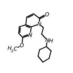 COc1ccc2ccc(=O)n(CCNC3CCCCC3)c2n1